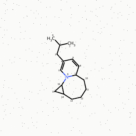 CC(C)CC1=CN2C(C=C1)CCCCC1CC12